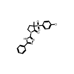 CC1(S(=O)(=O)c2ccc(Cl)cc2)CCN(c2nnc(-c3ccccc3)[nH]2)C1=O